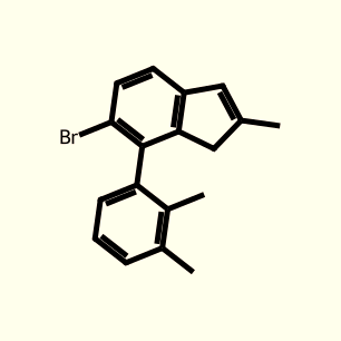 CC1=Cc2ccc(Br)c(-c3cccc(C)c3C)c2C1